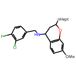 CCCCCCCC1CC(NCc2ccc(F)c(Cl)c2)c2ccc(OC)cc2O1